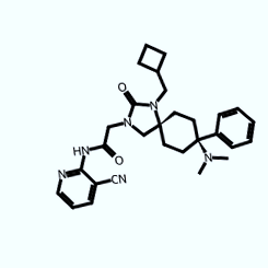 CN(C)[C@]1(c2ccccc2)CC[C@@]2(CC1)CN(CC(=O)Nc1ncccc1C#N)C(=O)N2CC1CCC1